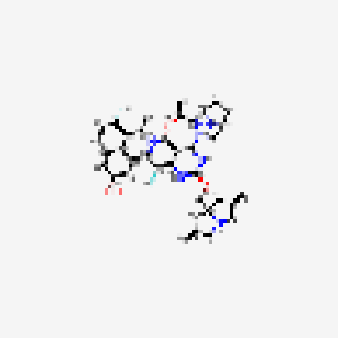 C=C1CN2CC(=C)CC2(COc2nc3c4c(nc(-c5cc(O)cc6ccc(F)c(CC)c56)c(F)c4n2)OC(C)C2C4CCC(CN32)N4)C1